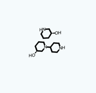 O[C@H]1CCCN(C2CCNCC2)C1.O[C@H]1CCCNC1